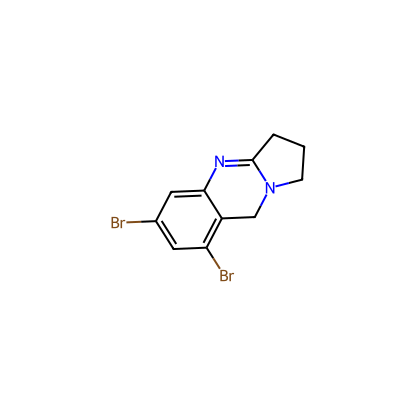 Brc1cc(Br)c2c(c1)N=C1CCCN1C2